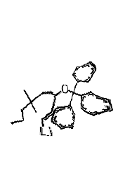 [Li]/[CH]=C/C(CC(C)(C)CCC)OC(c1ccccc1)(c1ccccc1)c1ccccc1